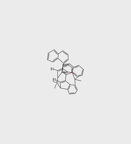 CCC1=C(c2cccc3ccccc23)c2c3cccc2C(C)(C)c2cccc4c2C(c2cccc5ccccc25)=C(CC)[CH]4[Ti]([CH3])([CH3])[CH]13